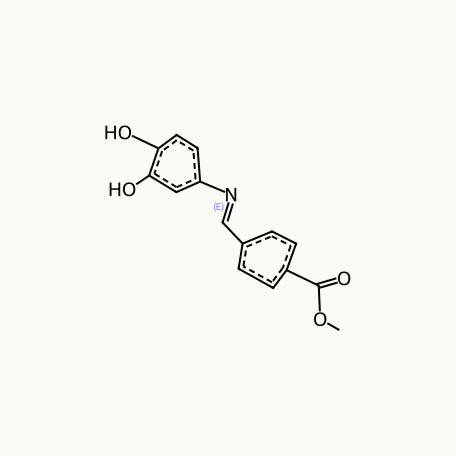 COC(=O)c1ccc(/C=N/c2ccc(O)c(O)c2)cc1